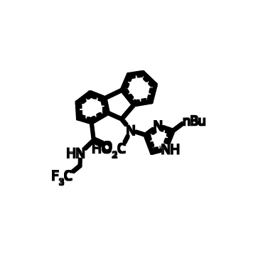 CCCCc1nc(N(C(=O)O)C2c3ccccc3-c3cccc(C(=O)NCC(F)(F)F)c32)c[nH]1